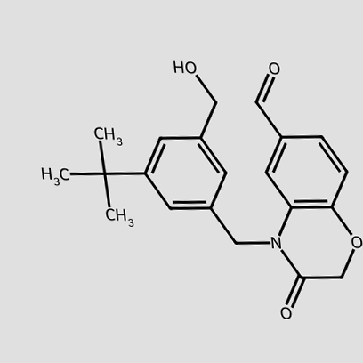 CC(C)(C)c1cc(CO)cc(CN2C(=O)COc3ccc(C=O)cc32)c1